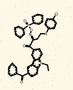 CCn1c2ccc(C(=O)/C(CCSc3ccc(Cl)cc3)=N/OP(=O)(c3ccccc3)c3ccccc3)cc2c2cc(C(=O)c3ccccc3)ccc21